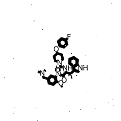 COc1ccc(CN(C)C)cc1NC(=O)[C@H](NC(=O)N1CCC(Oc2ccc(F)cc2)CC1)[C@H](C)c1c[nH]c2ccccc12